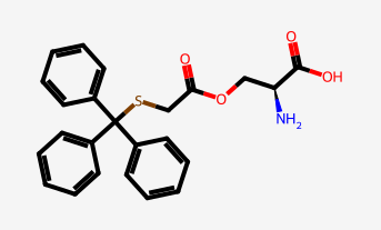 N[C@@H](COC(=O)CSC(c1ccccc1)(c1ccccc1)c1ccccc1)C(=O)O